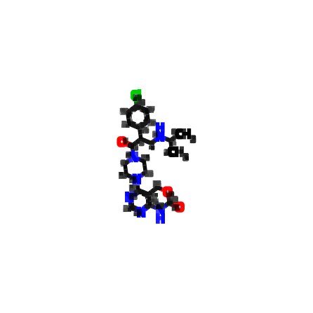 CC(C)NCC(C(=O)N1CCN(c2ncnc3c2COC(=O)N3)CC1)c1ccc(Cl)cc1